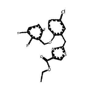 CCOC(=O)c1csc(Cc2cc(Cl)ccc2OCc2c(F)ccc(F)c2F)n1